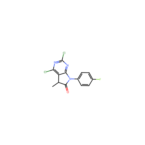 CC1C(=O)N(c2ccc(F)cc2)c2nc(Cl)nc(Cl)c21